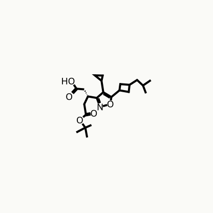 CC(C)CC1CC(c2onc([C@@H](CC(=O)O)CC(=O)OC(C)(C)C)c2C2CC2)C1